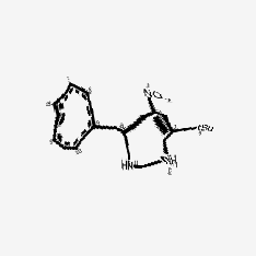 CC(C)(C)C1=C([N+](=O)[O-])C(c2ccccc2)NN1